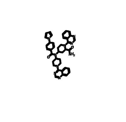 NC(=O)C1CC(N(C(=O)c2ccc(-n3cccc3)cc2)C2CCN(c3ncnc4ccccc34)CC2)CCN1c1ncnc2ccccc12